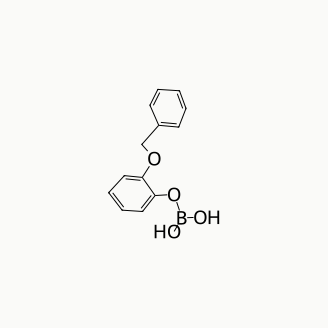 OB(O)Oc1ccccc1OCc1ccccc1